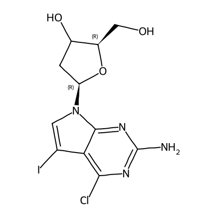 Nc1nc(Cl)c2c(I)cn([C@H]3CC(O)[C@@H](CO)O3)c2n1